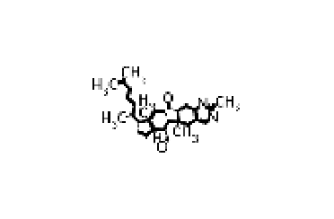 Cc1ncc2c(n1)C[C@H](C=O)[C@@](C)([C@H]1CC[C@]3(C)[C@@H]([C@H](C)CCCC(C)C)CC[C@H]3[C@@H]1C=O)C2